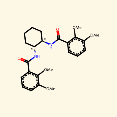 COc1cccc(C(=O)N[C@@H]2CCCC[C@H]2NC(=O)c2cccc(OC)c2OC)c1OC